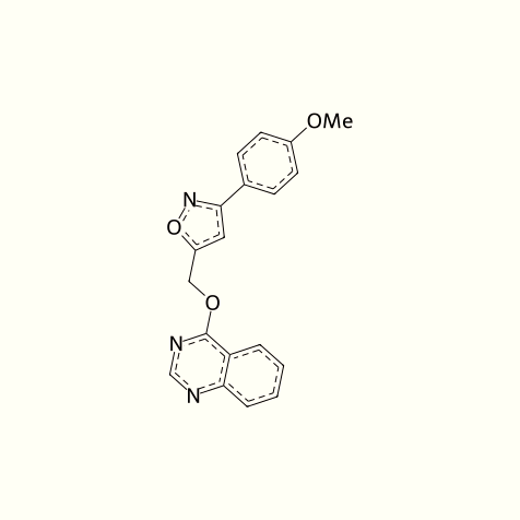 COc1ccc(-c2cc(COc3ncnc4ccccc34)on2)cc1